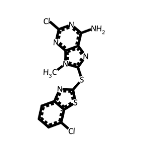 Cn1c(Sc2nc3cccc(Cl)c3s2)nc2c(N)nc(Cl)nc21